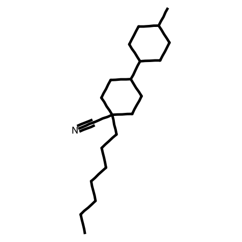 CCCCCCCC1(C#N)CCC(C2CCC(C)CC2)CC1